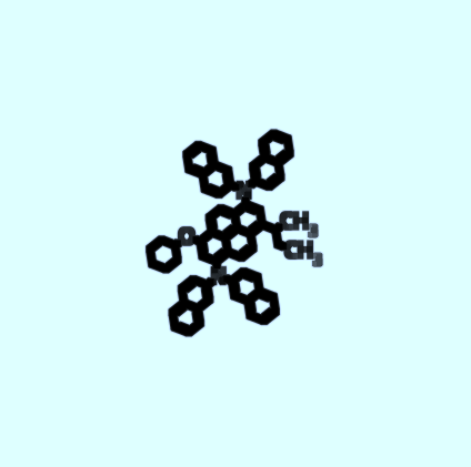 CCC(C)c1cc(N(c2ccc3ccccc3c2)c2ccc3ccccc3c2)c2ccc3c(OC4CCCCC4)cc(N(c4ccc5ccccc5c4)c4ccc5ccccc5c4)c4ccc1c2c34